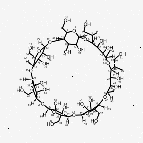 CC(CO)[C@H]1O[C@H]2OC(CO)[C@@H](O[C@H]3OC(CO)[C@@H](O[C@H]4OC(CO)[C@@H](O[C@H]5OC(CO)[C@@H](O[C@H]6OC(CO)[C@@H](O[C@@H](C)C(O)C(O)[C@@H](C(C)CO)O[C@@H](C)C(O)C1O)C(O)C6O)C(O)C5O)C(O)C4O)C(O)C3O)C(O)C2O